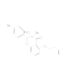 C=C(C)CCOc1cccc2c1C(=O)C(O)(Br)C(c1ccc(Br)cc1)O2